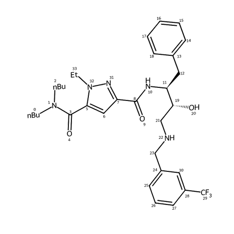 CCCCN(CCCC)C(=O)c1cc(C(=O)N[C@@H](Cc2ccccc2)[C@H](O)CNCc2cccc(C(F)(F)F)c2)nn1CC